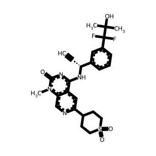 C#C[C@@H](Nc1nc(=O)n(C)c2cnc(C3CCS(=O)(=O)CC3)cc12)c1cccc(C(F)(F)C(C)(C)O)c1